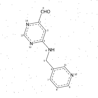 O=Cc1cc(NCc2cccnc2)ncn1